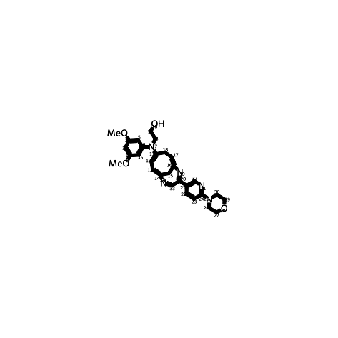 COc1cc(OC)cc(N(CCO)/C2=C/C=C3\C/C(=C\C2)N=C(c2ccc(N4CCOCC4)nc2)C=N3)c1